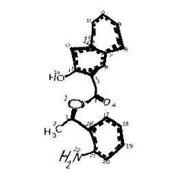 CC(OC(=O)c1cc2ccccc2cc1O)c1ccccc1N